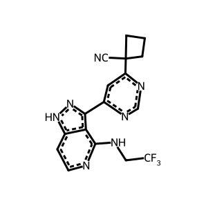 N#CC1(c2cc(-c3n[nH]c4ccnc(NCC(F)(F)F)c34)ncn2)CCC1